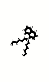 CCCCCCN(CCCCCC)c1cccc2ccccc12